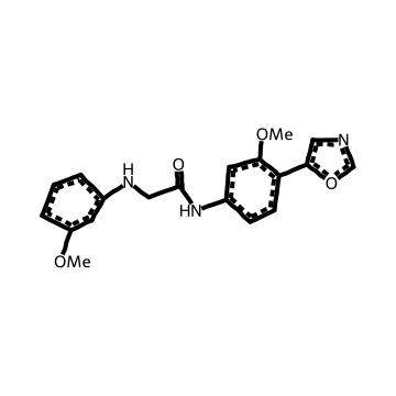 COc1cccc(NCC(=O)Nc2ccc(-c3cnco3)c(OC)c2)c1